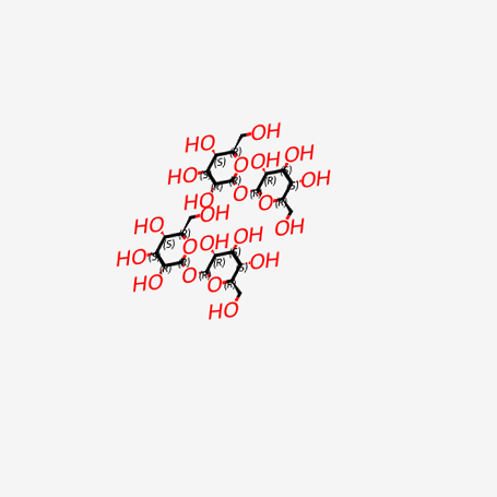 OC[C@H]1O[C@H](O[C@H]2O[C@H](CO)[C@@H](O)[C@H](O)[C@H]2O)[C@H](O)[C@@H](O)[C@@H]1O.OC[C@H]1O[C@H](O[C@H]2O[C@H](CO)[C@@H](O)[C@H](O)[C@H]2O)[C@H](O)[C@@H](O)[C@@H]1O